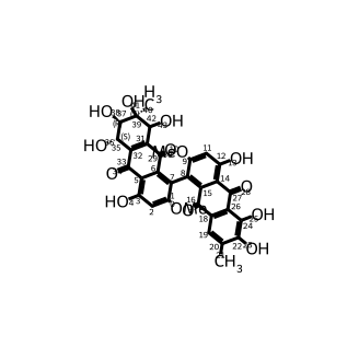 COc1cc(O)c2c(c1-c1c(OC)cc(O)c3c1C(=O)c1cc(C)c(O)c(O)c1C3=O)C(=O)C1=C(C2=O)[C@H](O)[C@@H](O)[C@@](C)(O)C1O